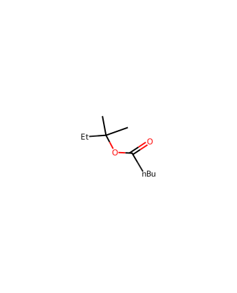 CCCCC(=O)OC(C)(C)CC